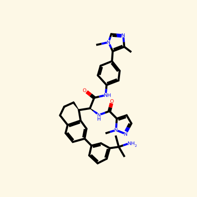 Cc1ncn(C)c1-c1ccc(NC(=O)[C@@H](NC(=O)c2ccnn2C)[C@@H]2CCCc3ccc(-c4cccc(C(C)(C)N)c4)cc32)cc1